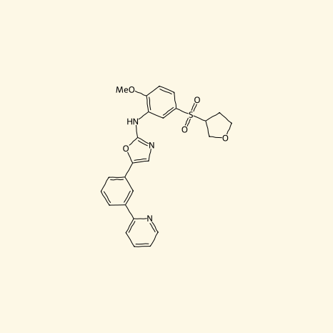 COc1ccc(S(=O)(=O)C2CCOC2)cc1Nc1ncc(-c2cccc(-c3ccccn3)c2)o1